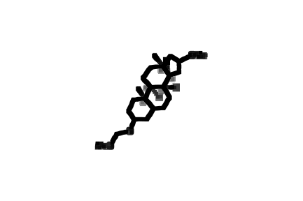 COCOC1CC[C@@]2(C)C(CC[C@H]3[C@@H]4CC(OC)C[C@@]4(C)CC[C@@H]32)C1